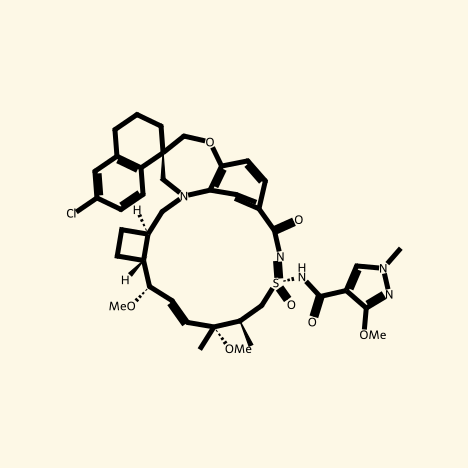 COc1nn(C)cc1C(=O)N[S@@]1(=O)=NC(=O)c2ccc3c(c2)N(C[C@@H]2CC[C@H]2[C@@H](OC)/C=C/[C@@](C)(OC)[C@H](C)C1)C[C@@]1(CCCc2cc(Cl)ccc21)CO3